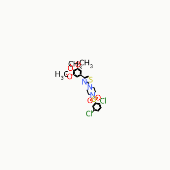 COc1cc(-c2csc(N3CCN(S(=O)(=O)c4cc(Cl)ccc4Cl)CC3)n2)cc(OC)c1OC